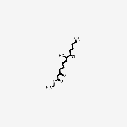 CCCCCC(Cl)C(O)C=CCCC(=O)CC(=O)OCC